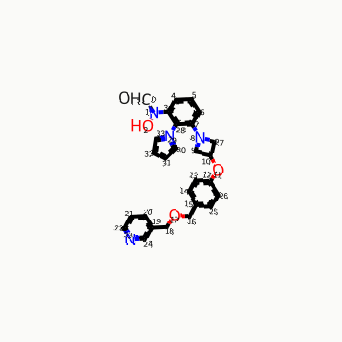 O=CN(O)c1cccc(N2CC(Oc3ccc(COCc4cccnc4)cc3)C2)c1-n1cccc1